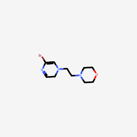 BrC1=CN(CCN2CCOCC2)CC=N1